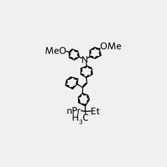 CCCC(C)(CC)c1ccc(/C(=C/c2ccc(N(c3ccc(OC)cc3)c3ccc(OC)cc3)cc2)c2ccccc2)cc1